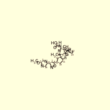 COc1cnc(-c2cc(-c3ccc(F)c([C@]4(C)CS(=O)(=NC5CC5)C(C)(C)C(NC(=O)O)=N4)c3)on2)cn1